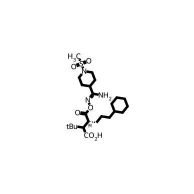 CC(C)(C)C(C(=O)O)[C@@H](CCCC1CCCCC1)C(=O)ON=C(N)C1CCN(S(C)(=O)=O)CC1